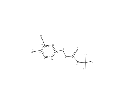 CC(C)(C)OC(=O)CCc1ccc(Br)c(F)c1